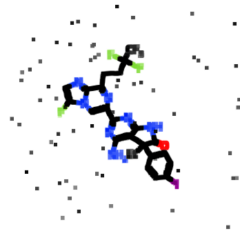 CCC1(c2ccc(I)cc2)C(=O)Nc2nc(-c3cn4c(F)cnc4c(CCC(F)(F)C(F)(F)F)n3)nc(N)c21